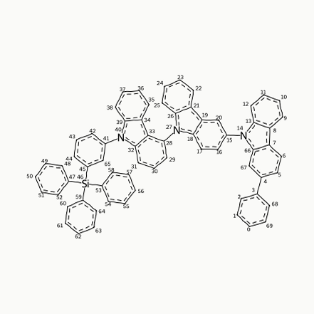 c1ccc(-c2ccc3c4ccccc4n(-c4ccc5c(c4)c4ccccc4n5-c4cccc5c4c4ccccc4n5-c4cccc([Si](c5ccccc5)(c5ccccc5)c5ccccc5)c4)c3c2)cc1